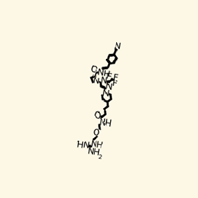 N#Cc1ccc(CCNC(=O)[C@@H]2CCN2c2cc(N3CCC(CCCC(=O)NCCOCCNC(=N)N)CC3)nc(C(F)(F)F)n2)cc1